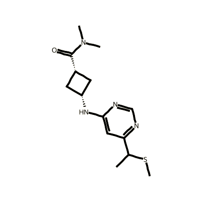 CSC(C)c1cc(N[C@H]2C[C@@H](C(=O)N(C)C)C2)ncn1